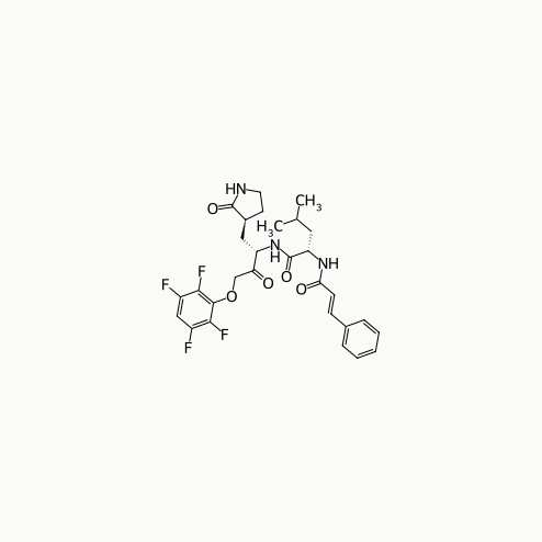 CC(C)C[C@H](NC(=O)C=Cc1ccccc1)C(=O)N[C@@H](C[C@@H]1CCNC1=O)C(=O)COc1c(F)c(F)cc(F)c1F